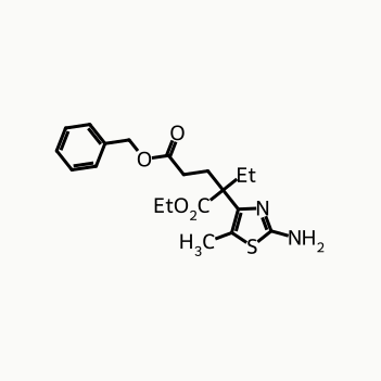 CCOC(=O)C(CC)(CCC(=O)OCc1ccccc1)c1nc(N)sc1C